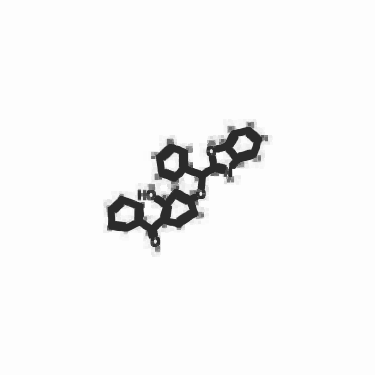 O=C(c1ccccc1)c1ccc(OC(c2ccccc2)c2nc3ccccc3o2)cc1O